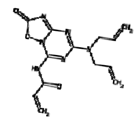 C=CCN(CC=C)c1nc(NC(=O)C=C)n2oc(=O)nc2n1